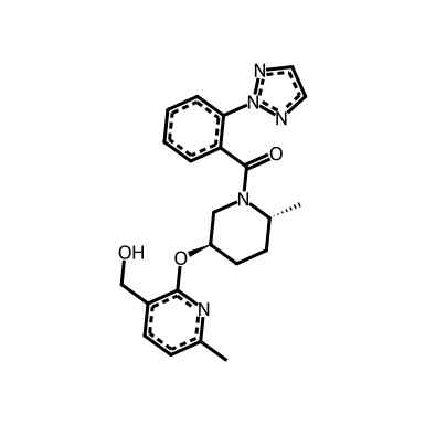 Cc1ccc(CO)c(O[C@@H]2CC[C@@H](C)N(C(=O)c3ccccc3-n3nccn3)C2)n1